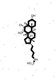 CC[C@H]1[C@@H](O)[C@@H]2[C@H](CC[C@]3(C)[C@@H](CCCCNS(=O)(=O)O)CC[C@@H]23)[C@@]2(C)CC[C@@H](O)C[C@@H]12